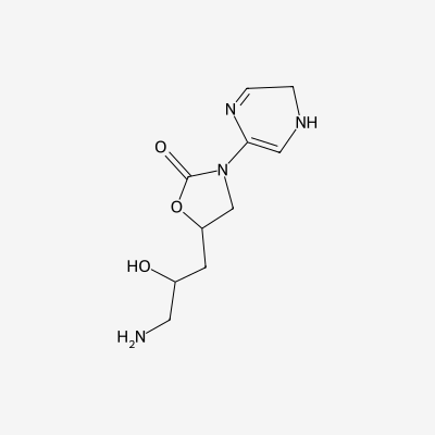 NCC(O)CC1CN(C2=CNCC=N2)C(=O)O1